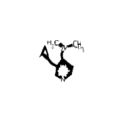 CN(C)c1ccncc1C1CC1